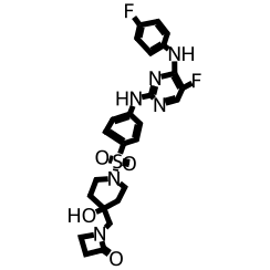 O=C1CCN1CC1(O)CCN(S(=O)(=O)c2ccc(Nc3ncc(F)c(Nc4ccc(F)cc4)n3)cc2)CC1